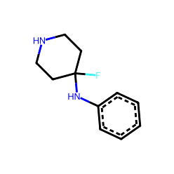 FC1(Nc2ccccc2)CCNCC1